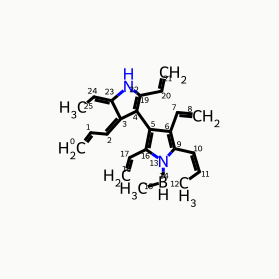 C=C/C=c1/c(-c2c(C=C)c(/C=C\C)n(BC)c2C=C)c(C=C)[nH]/c1=C/C